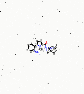 Cn1c(C(=O)N[C@@H]2C[C@H]3CC[C@@H]2N3)ccc1-c1ccccc1N